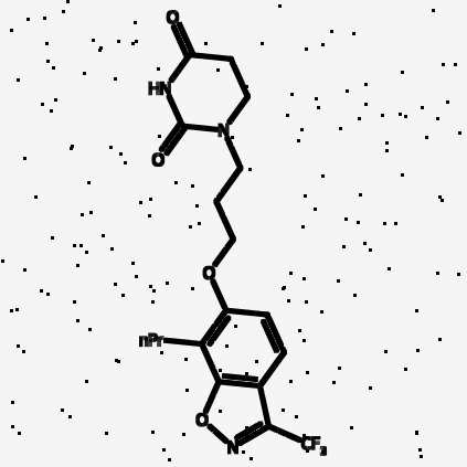 CCCc1c(OCCCN2CCC(=O)NC2=O)ccc2c(C(F)(F)F)noc12